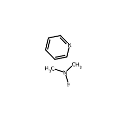 CN(C)F.c1ccncc1